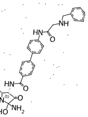 CC1NC(N)(O)C(=O)[C@H]1NC(=O)c1ccc(-c2ccc(NC(=O)CNCc3ccccc3)cc2)cc1